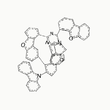 c1ccc(-c2nc(-c3cccc4c3oc3ccccc34)nc(-c3cccc4oc5ccc(-c6c(-n7c8ccccc8c8ccccc87)ccc7oc8ccccc8c67)cc5c34)n2)cc1